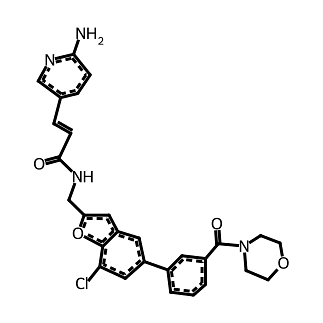 Nc1ccc(/C=C/C(=O)NCc2cc3cc(-c4cccc(C(=O)N5CCOCC5)c4)cc(Cl)c3o2)cn1